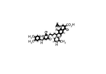 Cc1ccc(Nc2cc(=O)n(CCCC(c3c(F)cc4c(=O)c(C(=O)O)cn(C5CC5)c4c3F)N3CCNC(C)C3)c(=O)[nH]2)cc1C